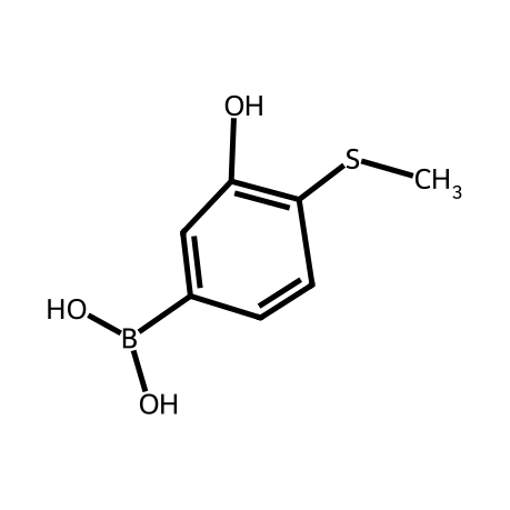 CSc1ccc(B(O)O)cc1O